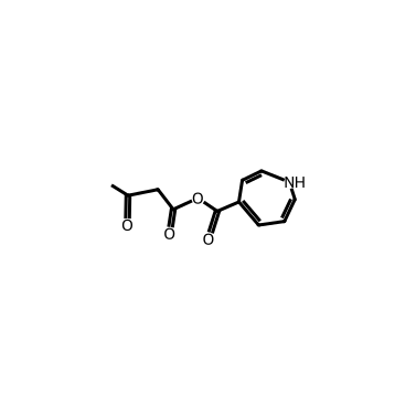 CC(=O)CC(=O)OC(=O)C1=CC=CNC=C1